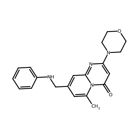 Cc1cc(CNc2ccccc2)cc2nc(N3CCOCC3)cc(=O)n12